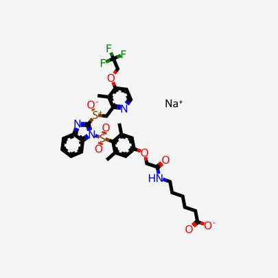 Cc1cc(OCC(=O)NCCCCCC(=O)[O-])cc(C)c1S(=O)(=O)n1c([S+]([O-])Cc2nccc(OCC(F)(F)F)c2C)nc2ccccc21.[Na+]